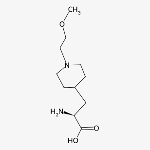 COCCN1CCC(C[C@H](N)C(=O)O)CC1